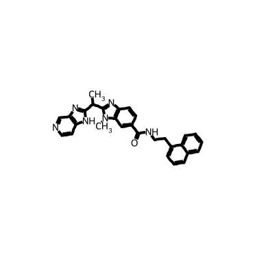 CC(c1nc2cnccc2[nH]1)c1nc2ccc(C(=O)NCCc3cccc4ccccc34)cc2n1C